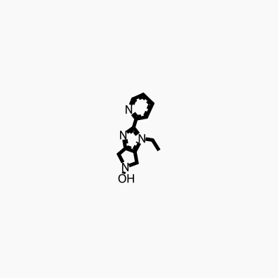 CCn1c(-c2ccccn2)nc2c1CN(O)C2